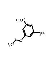 Bc1cc(OCC(F)(F)F)cc(C(=O)O)c1